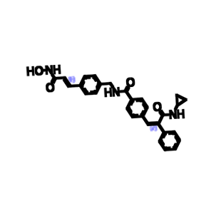 O=C(/C=C/c1ccc(CNC(=O)c2ccc(/C=C(\C(=O)NC3CC3)c3ccccc3)cc2)cc1)NO